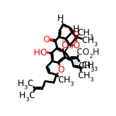 CC(C)=CCCC1(C)C=Cc2c(O)c3c(c(CC=C(C)C)c2O1)O[C@@]12C(=C[C@H]4COC[C@]1(C/C=C(/C)C(=O)O)OC(C)(C)[C@@H]2C4)C3=O